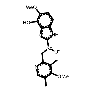 COc1ccc2[nH]c([S+]([O-])Cc3ncc(C)c(OC)c3C)nc2c1O